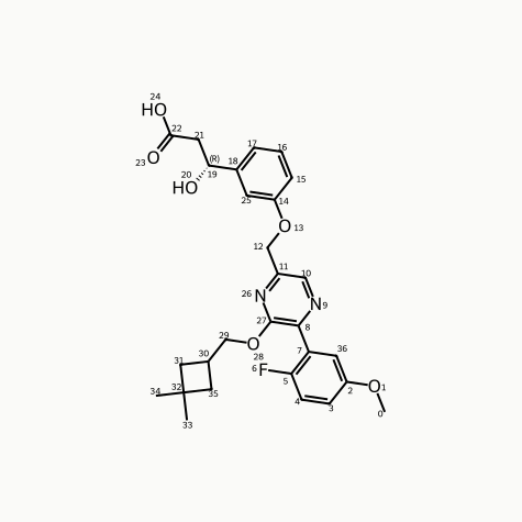 COc1ccc(F)c(-c2ncc(COc3cccc([C@H](O)CC(=O)O)c3)nc2OCC2CC(C)(C)C2)c1